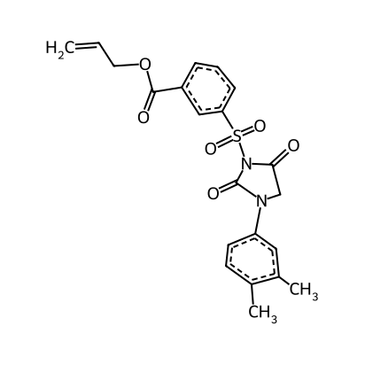 C=CCOC(=O)c1cccc(S(=O)(=O)N2C(=O)CN(c3ccc(C)c(C)c3)C2=O)c1